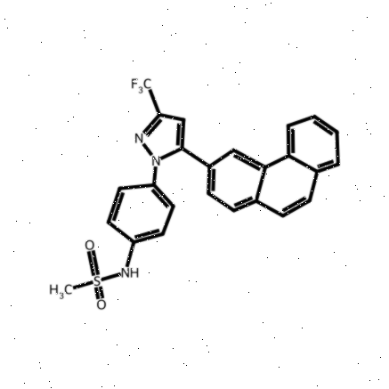 CS(=O)(=O)Nc1ccc(-n2nc(C(F)(F)F)cc2-c2ccc3ccc4ccccc4c3c2)cc1